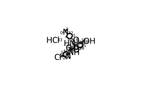 CN(C)[C@H]1CC[C@H](C(=O)Nc2c(C(=O)Nc3ccc(Cl)cn3)oc3ccc(CO)cc23)CC1.Cl